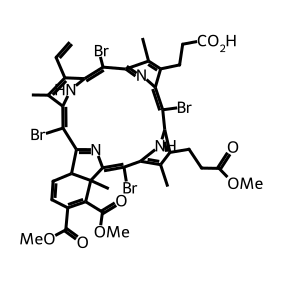 C=Cc1c(C)c2[nH]c1c(Br)c1nc(c(Br)c3[nH]c(c(C)c3CCC(=O)OC)c(Br)c3nc(c2Br)C2C=CC(C(=O)OC)=C(C(=O)OC)C32C)C(CCC(=O)O)=C1C